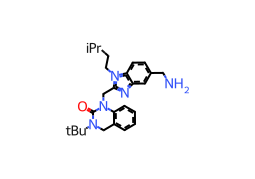 CC(C)CCn1c(CN2C(=O)N(C(C)(C)C)Cc3ccccc32)nc2cc(CN)ccc21